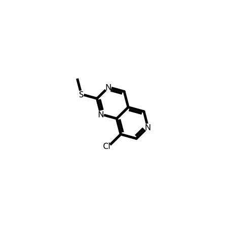 CSc1ncc2cncc(Cl)c2n1